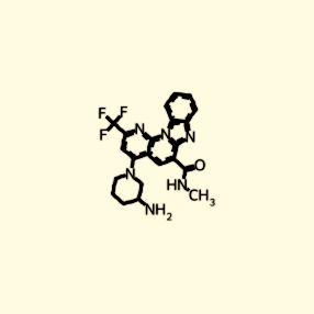 CNC(=O)c1cc2c(N3CCCC(N)C3)cc(C(F)(F)F)nc2n2c1nc1ccccc12